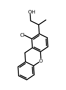 CC(CO)c1ccc2c(c1Cl)Cc1ccccc1O2